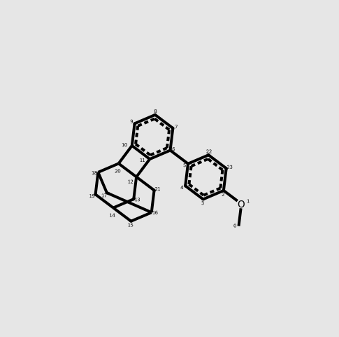 COc1ccc(-c2cccc3c2C24CC5CC(CC(C5)C32)C4)cc1